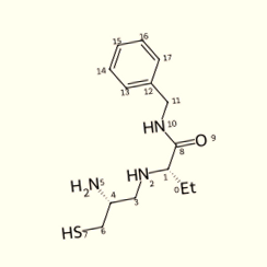 CC[C@H](NC[C@@H](N)CS)C(=O)NCc1ccccc1